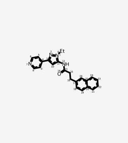 CCn1nc(-c2ccncc2)cc1NC(=O)CCc1ccc2ccccc2c1